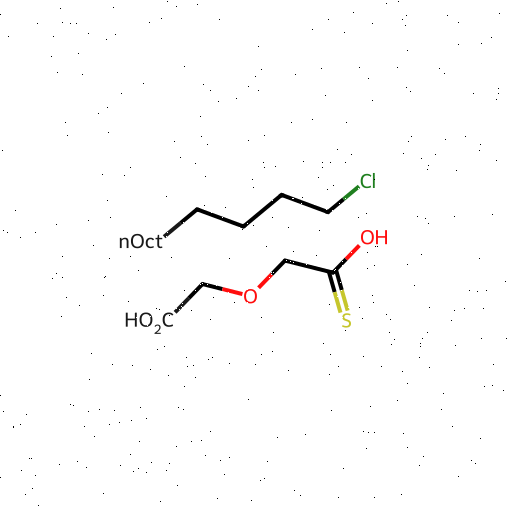 CCCCCCCCCCCCCl.O=C(O)COCC(O)=S